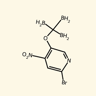 BC(B)(B)Oc1cnc(Br)cc1[N+](=O)[O-]